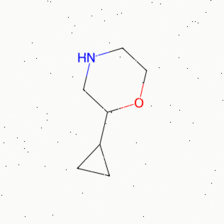 C1CO[C](C2CC2)CN1